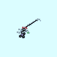 CCCCCCCCCCCCCCCC(=O)O[C@H]1CC(C)(C)C(C=CC(C)=CC[P+](c2ccccc2)(c2ccccc2)c2ccccc2)=C(C)C1=O.[Br-]